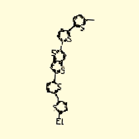 CCc1ccc(-c2ccc(-c3cc4sc(-c5ccc(-c6ccc(C)s6)s5)cc4s3)s2)s1